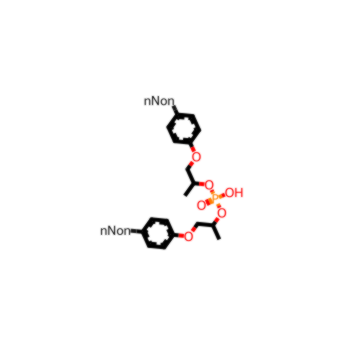 CCCCCCCCCc1ccc(OCC(C)OP(=O)(O)OC(C)COc2ccc(CCCCCCCCC)cc2)cc1